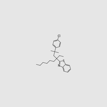 CCCCCCC(CC)(CC(C)(C)c1ccc(Cl)cc1)c1nc2ccccc2s1